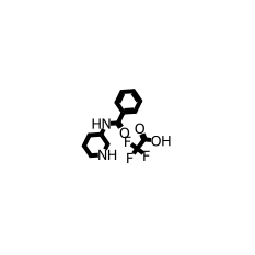 O=C(NC1CCCNC1)c1ccccc1.O=C(O)C(F)(F)F